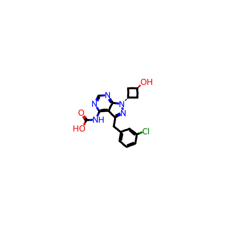 O=C(O)Nc1ncnc2c1c(Cc1cccc(Cl)c1)nn2[C@H]1C[C@H](O)C1